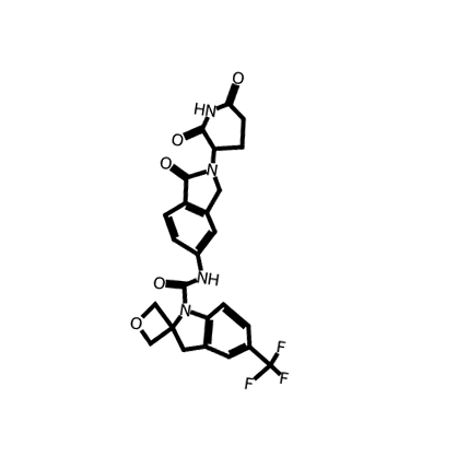 O=C1CCC(N2Cc3cc(NC(=O)N4c5ccc(C(F)(F)F)cc5CC45COC5)ccc3C2=O)C(=O)N1